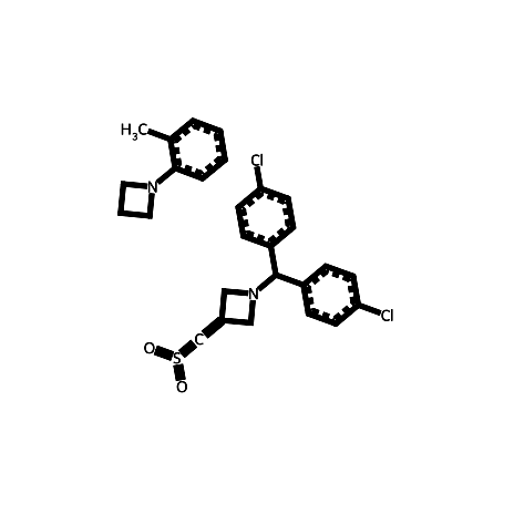 Cc1ccccc1N1CCC1.O=S(=O)=C=C1CN(C(c2ccc(Cl)cc2)c2ccc(Cl)cc2)C1